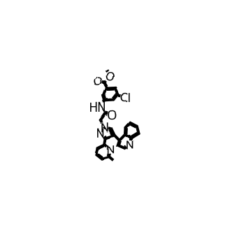 COC(=O)c1cc(Cl)cc(NC(=O)Cn2cc(-c3ccnc4ccccc34)c(-c3cccc(C)n3)n2)c1